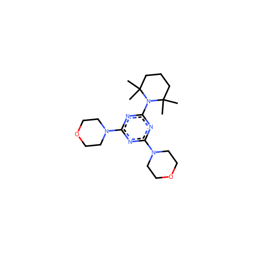 CC1(C)CCCC(C)(C)N1c1nc(N2CCOCC2)nc(N2CCOCC2)n1